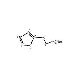 COCSc1nn[c]s1